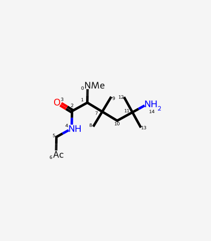 CNC(C(=O)NCC(C)=O)C(C)(C)CC(C)(C)N